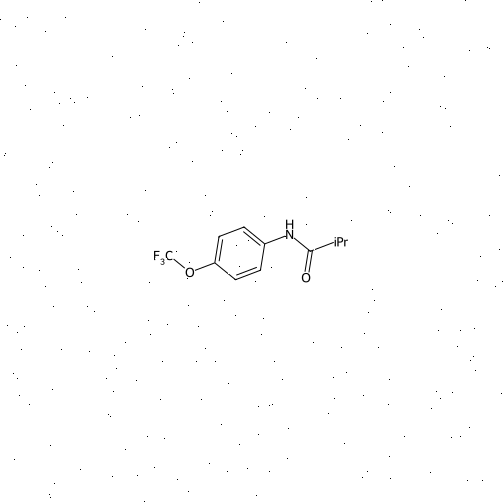 CC(C)C(=O)Nc1ccc(OC(F)(F)F)cc1